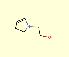 OCCN1C=CCC1